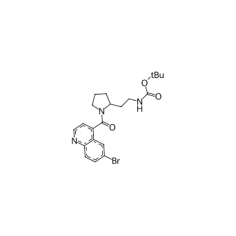 CC(C)(C)OC(=O)NCCC1CCCN1C(=O)c1ccnc2ccc(Br)cc12